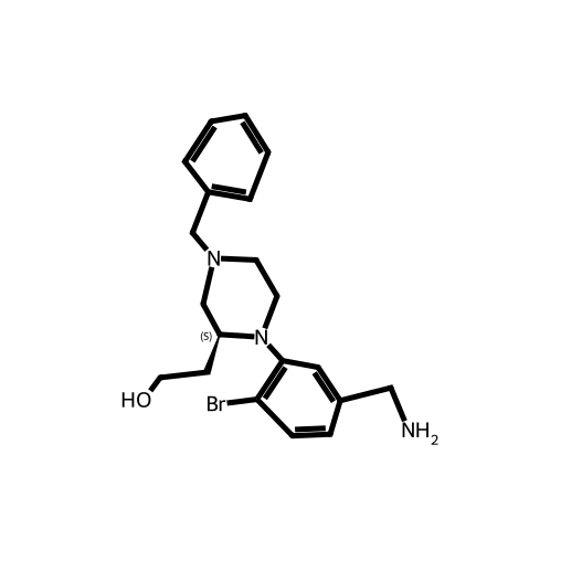 NCc1ccc(Br)c(N2CCN(Cc3ccccc3)C[C@@H]2CCO)c1